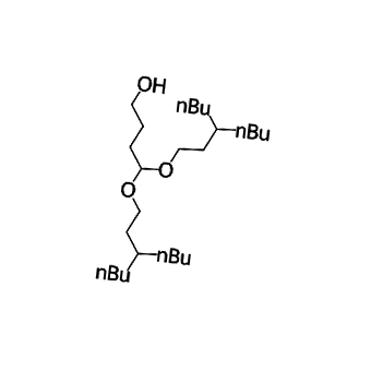 CCCCC(CCCC)CCOC(CCCO)OCCC(CCCC)CCCC